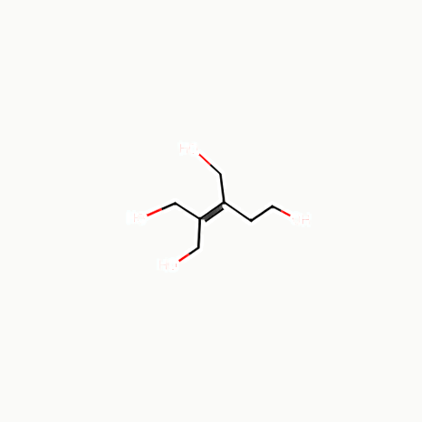 OCCC(CO)=C(CO)CO